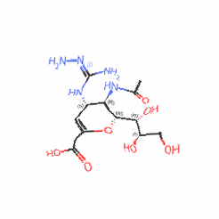 CC(=O)N[C@H]1[C@H]([C@H](O)[C@H](O)CO)OC(C(=O)O)=C[C@@H]1N/C(N)=N\N